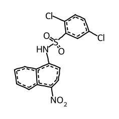 O=[N+]([O-])c1ccc(NS(=O)(=O)c2cc(Cl)ccc2Cl)c2ccccc12